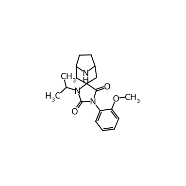 COc1ccccc1N1C(=O)N(C(C)C)C2(CC3CCC(C2)N3)C1=O